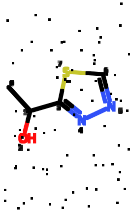 CC(O)c1nn[c]s1